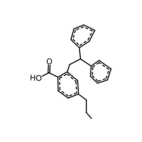 CCCc1ccc(C(=O)O)c(CC(c2ccccc2)c2ccccc2)c1